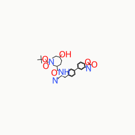 Cn1c(=O)oc2ccc(-c3ccc(C[C@@H](C#N)NC(=O)C4CCC(O)CCN(C(=O)OC(C)(C)C)C4)cc3)cc21